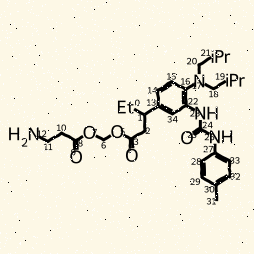 CCC(CC(=O)OCOC(=O)CCN)c1ccc(N(CC(C)C)CC(C)C)c(NC(=O)Nc2ccc(C)cc2)c1